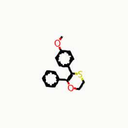 COc1ccc(C2=C(c3ccccc3)OCCS2)cc1